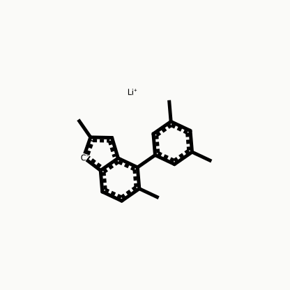 Cc1cc(C)cc(-c2c(C)ccc3[cH-]c(C)cc23)c1.[Li+]